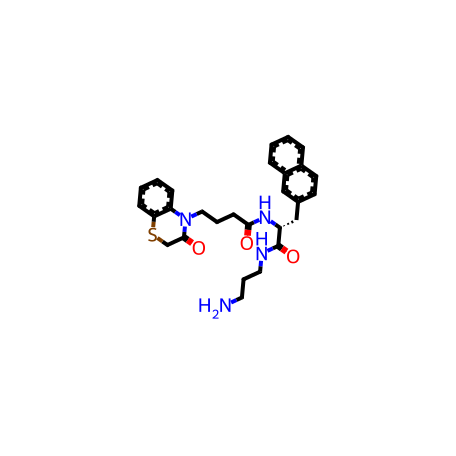 NCCCNC(=O)[C@@H](Cc1ccc2ccccc2c1)NC(=O)CCCN1C(=O)CSc2ccccc21